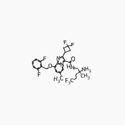 Cc1cc(OCc2c(F)cccc2F)c2nc(C3CC(F)(F)C3)c(C(=O)NCC(C)(N)CCC(F)(F)F)n2c1